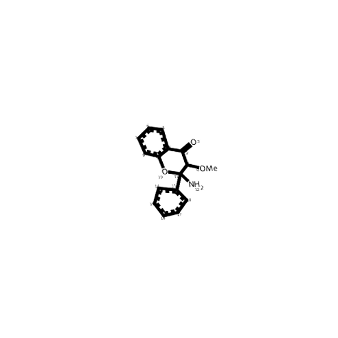 COC1C(=O)c2ccccc2OC1(N)c1ccccc1